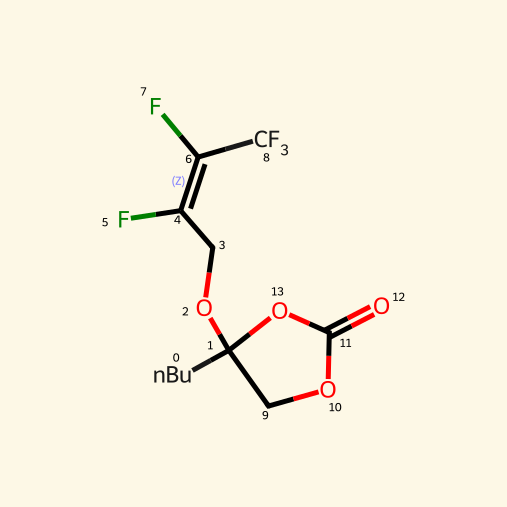 CCCCC1(OC/C(F)=C(/F)C(F)(F)F)COC(=O)O1